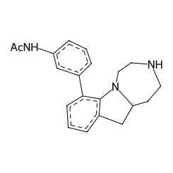 CC(=O)Nc1cccc(-c2cccc3c2N2CCNCCC2C3)c1